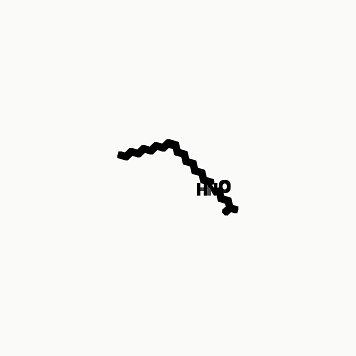 CCCCCCCC/C=C\CCCCCCCCNC(=O)CCC(C)C